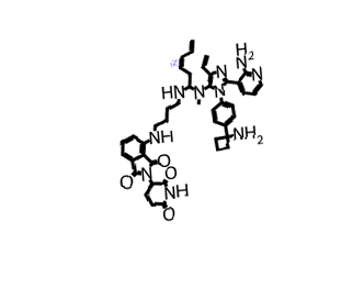 C=C/C=C\CC(NCCCCNc1cccc2c1C(=O)N(C1CCC(=O)NC1=O)C2=O)N(C)c1c(C=C)nc(-c2cccnc2N)n1-c1ccc(C2(N)CCC2)cc1